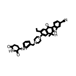 CCc1cc2c(cc1N1CCN(Cc3cccc(NC4CCC(=O)NC4=O)c3)CC1)C(C)(C)c1[nH]c3cc(C#N)ccc3c1C2=O